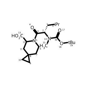 CC(C)C[C@@H](C(=O)N1CCC2(CC2)CC1C(=O)O)N(C)C(=O)OC(C)(C)C